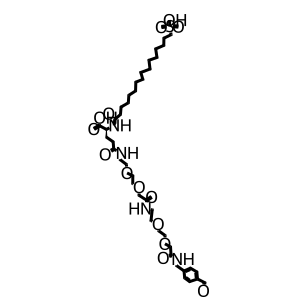 O=Cc1ccc(CNC(=O)COCCOCCNC(=O)COCCOCCNC(=O)CC[C@H](NC(=O)CCCCCCCCCCCCCCCS(=O)(=O)O)C(=O)O)cc1